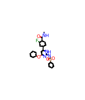 CNC(=O)c1ccc(-c2cc(Oc3ccccc3)nc(NS(=O)(=O)c3ccccc3)n2)cc1F